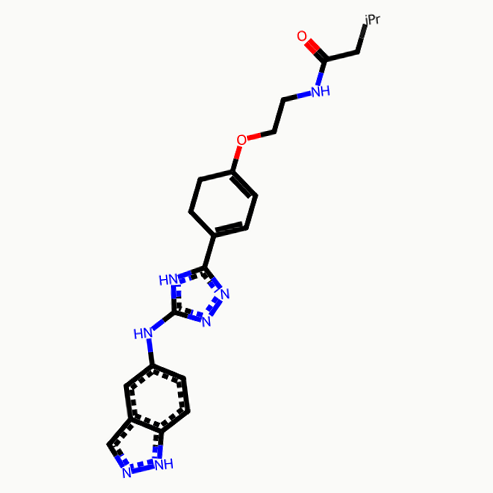 CC(C)CC(=O)NCCOC1=CC=C(c2nnc(Nc3ccc4[nH]ncc4c3)[nH]2)CC1